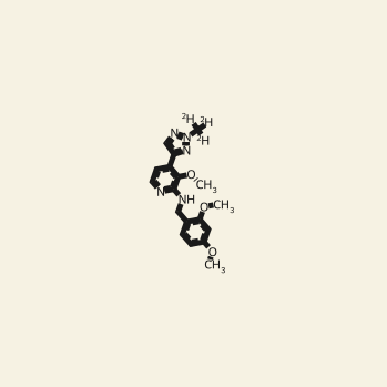 [2H]C([2H])([2H])n1ncc(-c2ccnc(NCc3ccc(OC)cc3OC)c2OC)n1